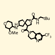 COC1COCCC1N[C@H]1CC[C@@]2(C1)CN(C(=O)NCC(C)(C)C)CC2C(=O)N1CCc2ncc(C(F)(F)F)cc2C1